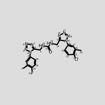 Cc1cc(-n2nnnc2CNC(=O)NCc2nnnn2-c2ccc(Cl)c(C)c2)ccc1F